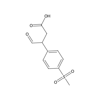 CS(=O)(=O)c1ccc(C(C=O)CC(=O)O)cc1